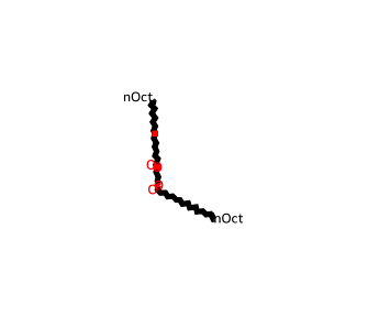 CCCCCCCCC=CCCCCCCCCCCCCCC(=O)OCCCOC(=O)CCCCCCCCCCCCCC=CCCCCCCCC